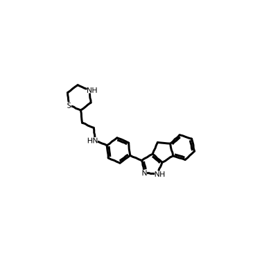 c1ccc2c(c1)Cc1c(-c3ccc(NCCC4CNCCS4)cc3)n[nH]c1-2